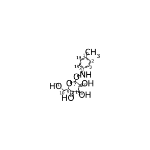 Cc1ccc(NOC2O[C@H](CO)[C@@H](O)[C@H](O)[C@H]2O)cc1